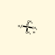 C[PH](C)(C)C.[H]